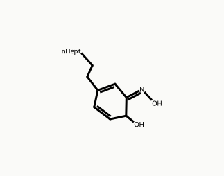 CCCCCCCCCC1=CC(=NO)C(O)C=C1